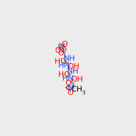 CC(CCC(O)NCC(O)NCC(O)NCC(O)NCCC(=O)ON1C(=O)CCC1=O)N1C(=O)C=CC1=O